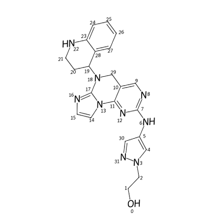 OCCn1cc(Nc2ncc3c(n2)-n2ccnc2N(C2CCNc4ccccc42)C3)cn1